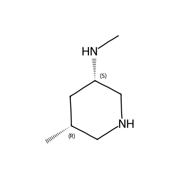 CN[C@@H]1CNC[C@H](C)C1